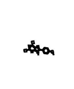 COc1ccc(-c2nc3c(Cl)nc(Cl)nc3n2C)cc1